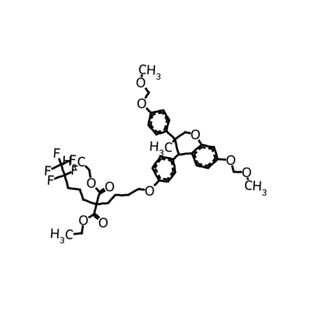 CCOC(=O)C(CCCCOc1ccc(C2c3ccc(OCOC)cc3OCC2(C)c2ccc(OCOC)cc2)cc1)(CCCC(F)(F)C(F)(F)F)C(=O)OCC